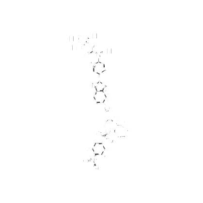 CN(C(=O)OC(C)(C)C)c1ccc(-c2nc3ccc(OC[C@@H](COS(=O)(=O)c4ccc([N+](=O)[O-])cc4)OC4CCCCO4)cc3s2)cn1